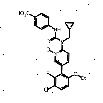 CCOc1ccc(Cl)c(F)c1-c1ccc(C(CC2CC2)C(=O)Nc2ccc(C(=O)O)cc2)[n+]([O-])c1